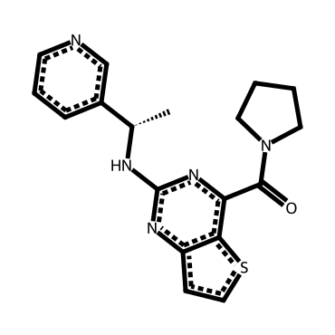 C[C@H](Nc1nc(C(=O)N2CCCC2)c2sccc2n1)c1cccnc1